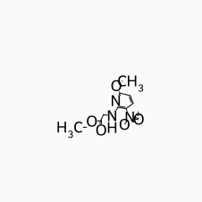 CCOC(=O)CNc1nc(OC)ccc1[N+](=O)[O-]